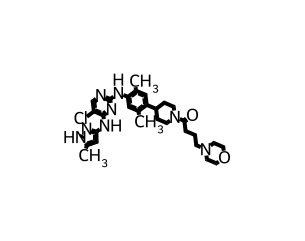 Cc1cc(Nc2nc(Nc3cc(C)c(C4CCN(C(=O)CCCN5CCOCC5)CC4)cc3C)ncc2Cl)n[nH]1